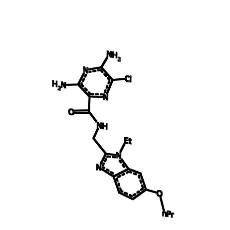 CCCOc1ccc2nc(CNC(=O)c3nc(Cl)c(N)nc3N)n(CC)c2c1